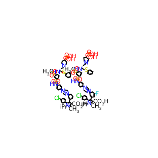 Cc1c(C(=O)O)c(-c2cc(F)cc(N3CCN(c4ccc(NS(=O)(=O)c5ccc(N[C@H](CCN6CCC(OP(=O)(O)O)CC6)CSc6ccccc6)c(S(C)(=O)=O)c5)cc4)CC3)c2)c(-c2ccc(Cl)cc2)n1C(C)C.Cc1c(C(=O)O)c(-c2cccc(N3CCN(c4ccc(NS(=O)(=O)c5ccc(N[C@H](CCN6CCC(OP(=O)(O)O)CC6)CSc6ccccc6)c(S(C)(=O)=O)c5)cc4)CC3)c2)c(-c2ccc(Cl)cc2)n1C(C)C